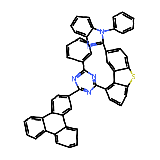 c1ccc(-c2nc(-c3ccc4c5ccccc5c5ccccc5c4c3)nc(-c3cccc4sc5ccc(-c6nc7ccccc7n6-c6ccccc6)cc5c34)n2)cc1